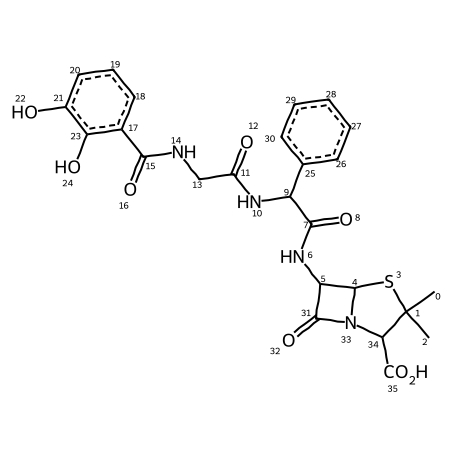 CC1(C)SC2C(NC(=O)C(NC(=O)CNC(=O)c3cccc(O)c3O)c3ccccc3)C(=O)N2C1C(=O)O